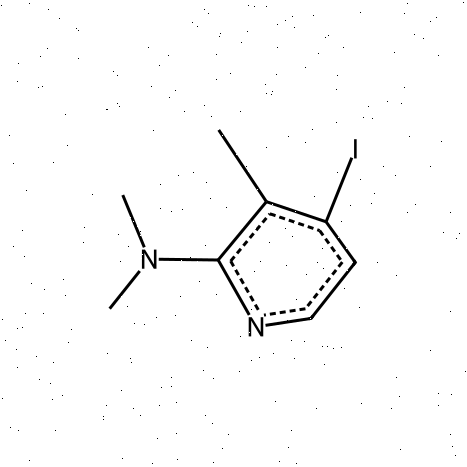 Cc1c(I)ccnc1N(C)C